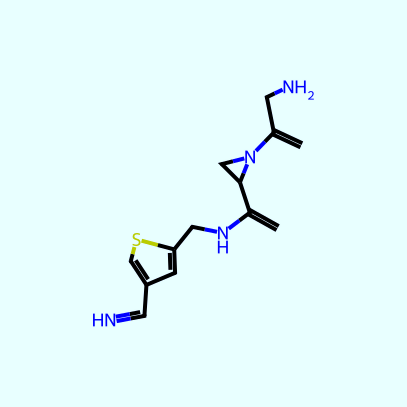 C=C(NCc1cc(C=N)cs1)C1CN1C(=C)CN